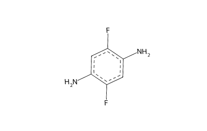 Nc1cc(F)c(N)cc1F